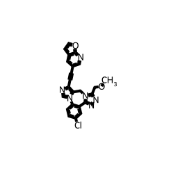 COCc1nnc2n1Cc1c(C#Cc3cnc4occc4c3)ncn1-c1ccc(Cl)cc1-2